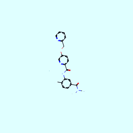 Br.CCCN(C#N)C(=O)c1ccc(C)c(NC(=O)c2ccc(OCc3ccccn3)cn2)c1